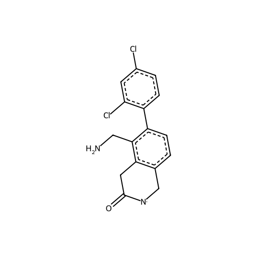 NCc1c(-c2ccc(Cl)cc2Cl)ccc2c1CC(=O)[N]C2